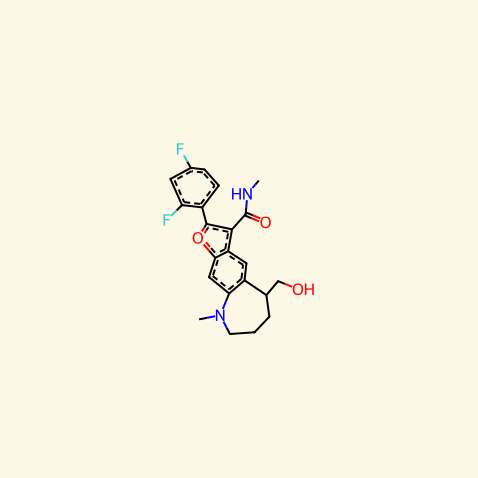 CNC(=O)c1c(-c2ccc(F)cc2F)oc2cc3c(cc12)C(CO)CCCN3C